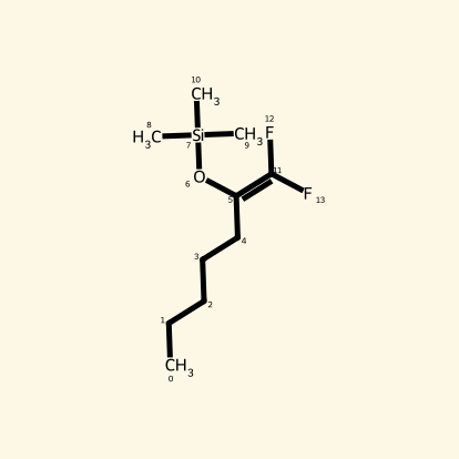 CCCCCC(O[Si](C)(C)C)=C(F)F